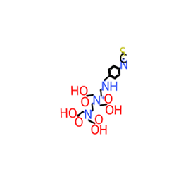 O=C(O)CN(CC[N+](CCNCc1ccc(N=C=S)cc1)(CC(=O)O)CC(=O)O)CC(=O)O